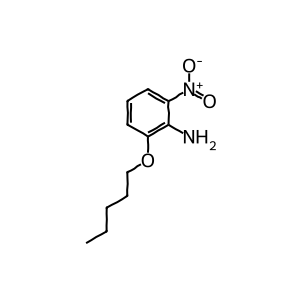 CCCCCOc1cccc([N+](=O)[O-])c1N